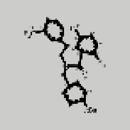 CC(C)(C)c1ccc(CN(CCc2cccc(C(F)(F)F)c2)C(=O)c2cc(Cl)ccc2F)cc1